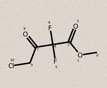 COC(=O)C(F)(F)C(=O)CCl